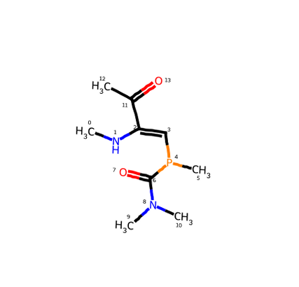 CN/C(=C\P(C)C(=O)N(C)C)C(C)=O